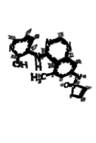 Cc1cc(N=S2(=O)CCC2)cc2ncnc(Nc3cccnc3O)c12